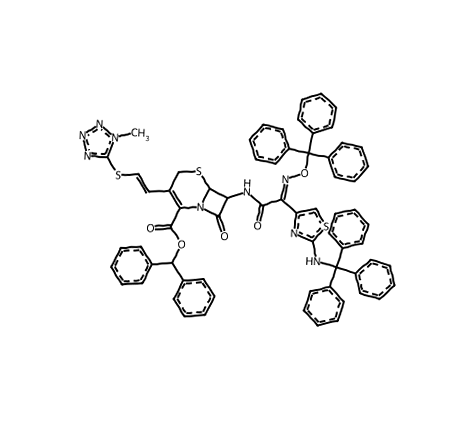 Cn1nnnc1SC=CC1=C(C(=O)OC(c2ccccc2)c2ccccc2)N2C(=O)C(NC(=O)C(=NOC(c3ccccc3)(c3ccccc3)c3ccccc3)c3csc(NC(c4ccccc4)(c4ccccc4)c4ccccc4)n3)C2SC1